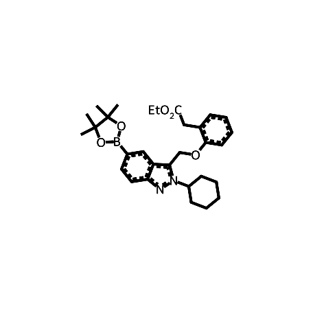 CCOC(=O)Cc1ccccc1OCc1c2cc(B3OC(C)(C)C(C)(C)O3)ccc2nn1C1CCCCC1